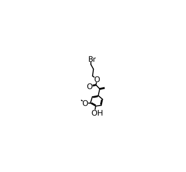 C=C(C(=O)OCCCBr)c1ccc(O)c(OC)c1